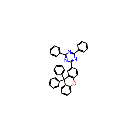 c1ccc(-c2nc(-c3ccccc3)nc(-c3ccc4c(c3)C(c3ccccc3)(c3ccccc3)c3ccccc3O4)n2)cc1